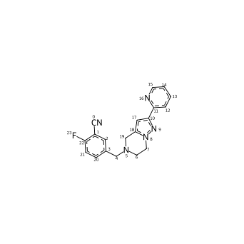 N#Cc1cc(CN2CCn3nc(-c4ccccn4)cc3C2)ccc1F